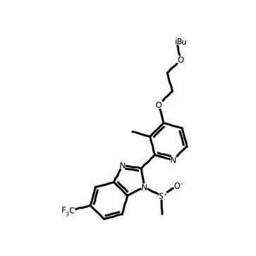 CCC(C)OCCOc1ccnc(-c2nc3cc(C(F)(F)F)ccc3n2[S+](C)[O-])c1C